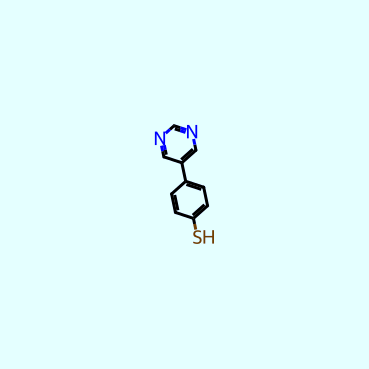 Sc1ccc(-c2cncnc2)cc1